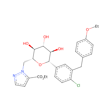 CCOC(=O)c1ccnn1C[C@H]1O[C@@H](c2ccc(Cl)c(Cc3ccc(OCC)cc3)c2)[C@H](O)[C@@H](O)[C@@H]1O